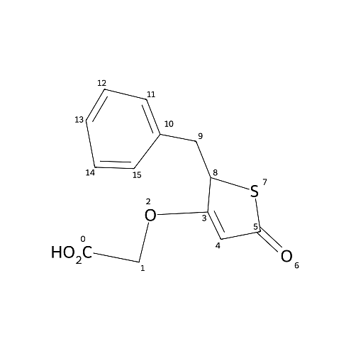 O=C(O)COC1=CC(=O)SC1Cc1ccccc1